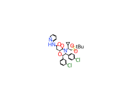 CC(C)(C)S(=O)(=O)C[C@H](C1CC1)N1C(=O)[C@H](CC(=O)Nc2ccccn2)O[C@H](c2cccc(Cl)c2)C1c1ccc(Cl)cc1